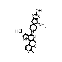 Cc1nccc(-c2c(C)nc(N3CCC4(CC3)Cc3nc(O)sc3[C@H]4N)c3ccnn23)c1Cl.Cl